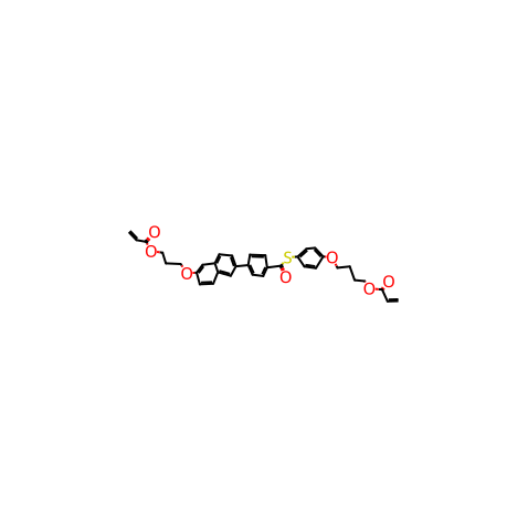 C=CC(=O)OCCCCOc1ccc(SC(=O)c2ccc(-c3ccc4cc(OCCCOC(=O)C=C)ccc4c3)cc2)cc1